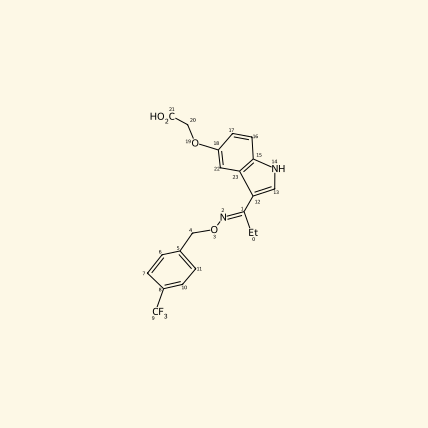 CCC(=NOCc1ccc(C(F)(F)F)cc1)c1c[nH]c2ccc(OCC(=O)O)cc12